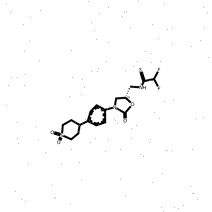 O=C1O[C@@H](CNC(=S)C(F)F)CN1c1ccc(C2CCS(=O)(=O)CC2)cc1